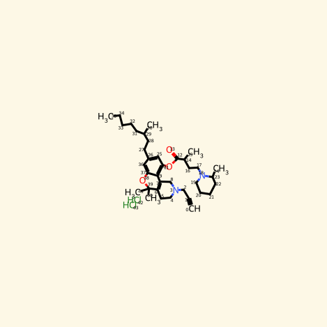 C#CCN1CCC2=C(C1)c1c(OC(=O)C(C)CCN3CCCCC3C)cc(CCC(C)CCCCC)cc1OC2(C)C.Cl.Cl